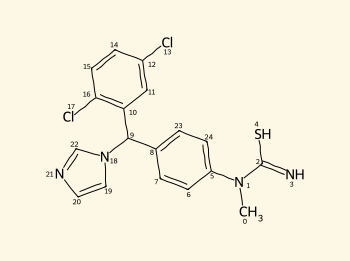 CN(C(=N)S)c1ccc(C(c2cc(Cl)ccc2Cl)n2ccnc2)cc1